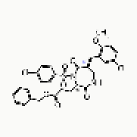 COc1ccc(Cl)cc1/C=C1\CNC(=O)[C@@H](CCC(=O)OCc2ccccc2)N(S(=O)(=O)c2ccc(Cl)cc2)C1=O